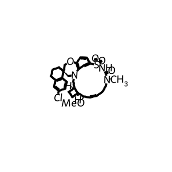 CO[C@@H]1C=CCCN(C)C(=O)NS(=O)(=O)c2ccc3c(c2)N(C[C@@H]2CC[C@H]21)C[C@@]1(CCCc2cc(Cl)ccc21)CO3